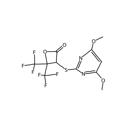 COc1cc(OC)nc(SC2C(=O)OC2(C(F)(F)F)C(F)(F)F)n1